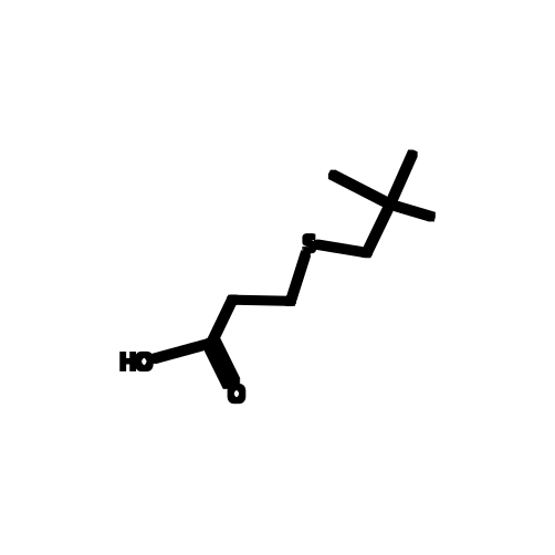 CC(C)(C)CSCCC(=O)O